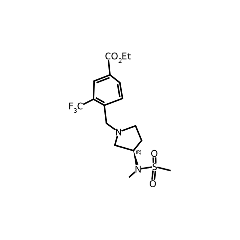 CCOC(=O)c1ccc(CN2CC[C@@H](N(C)S(C)(=O)=O)C2)c(C(F)(F)F)c1